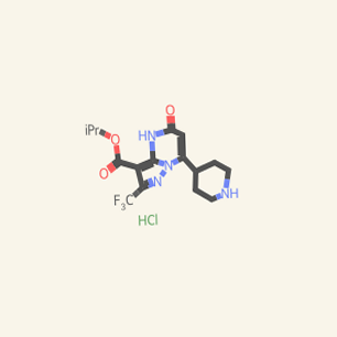 CC(C)OC(=O)c1c(C(F)(F)F)nn2c(C3CCNCC3)cc(=O)[nH]c12.Cl